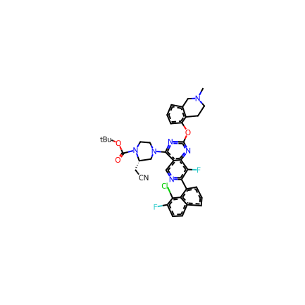 CN1CCc2c(cccc2Oc2nc(N3CCN(C(=O)OC(C)(C)C)[C@@H](CC#N)C3)c3cnc(-c4cccc5ccc(F)c(Cl)c45)c(F)c3n2)C1